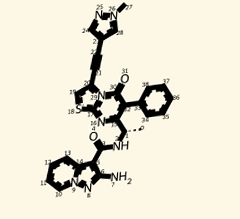 C[C@H](NC(=O)c1c(N)nn2ccccc12)c1nc2scc(C#Cc3cnn(C)c3)n2c(=O)c1-c1ccccc1